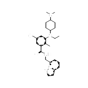 CCN(c1cc(Cl)cc(C(=O)NCc2cccc3ccnn23)c1C)C1CCC(N(C)C)CC1